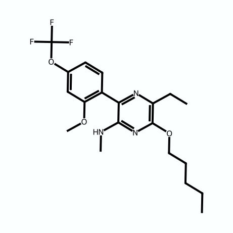 CCCCCOc1nc(NC)c(-c2ccc(OC(F)(F)F)cc2OC)nc1CC